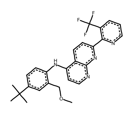 COCc1cc(C(C)(C)C)ccc1Nc1ccnc2nc(-c3ncccc3C(F)(F)F)ccc12